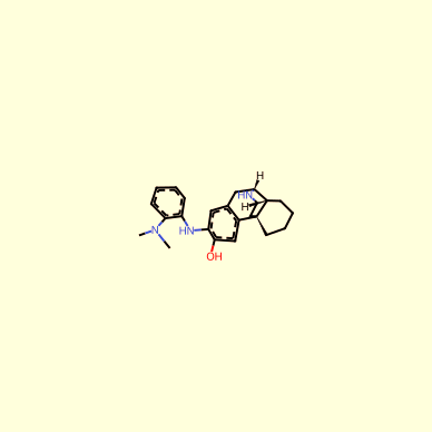 CN(C)c1ccccc1Nc1cc2c(cc1O)[C@@]13CCCC[C@H]1[C@@H](C2)NCC3